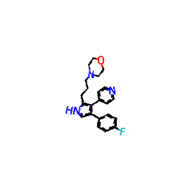 Fc1ccc(-c2c[nH]c(CCCN3CCOCC3)c2-c2ccncc2)cc1